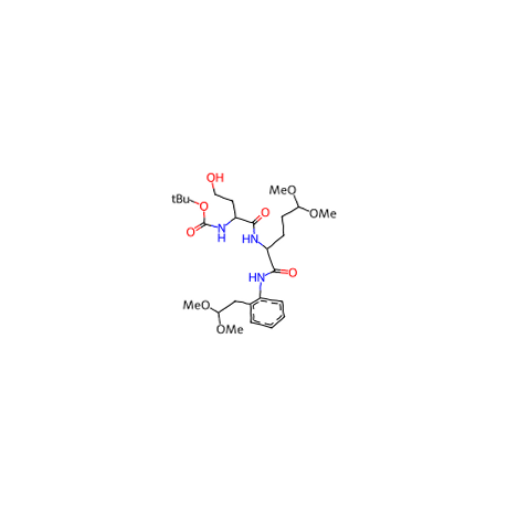 COC(CCC(NC(=O)C(CCO)NC(=O)OC(C)(C)C)C(=O)Nc1ccccc1CC(OC)OC)OC